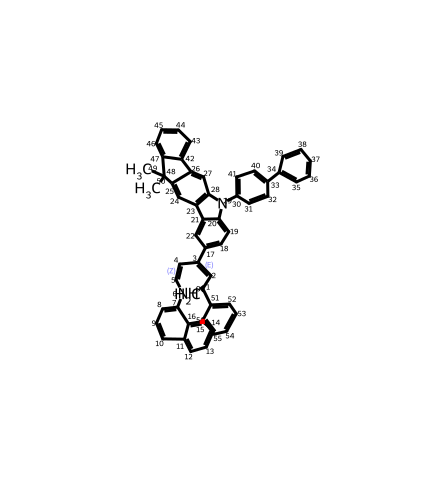 C=C(/C=C(\C=C/Nc1cccc2ccccc12)c1ccc2c(c1)c1cc3c(cc1n2-c1ccc(-c2ccccc2)cc1)-c1ccccc1C3(C)C)c1ccccc1